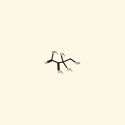 C=C(C(N)=O)C(C)(C)CO